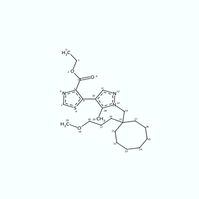 CCOC(=O)c1ncsc1-c1cnn(CC2(CCCOC)CCCCCCC2)c1C